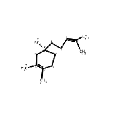 CC(C)=CCC[C@@]1(C#N)CCC(C)=C(C)C1